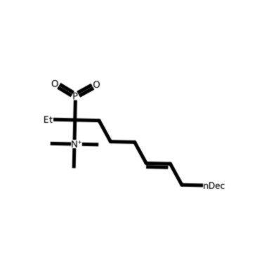 CCCCCCCCCCCC=CCCCC(CC)(P(=O)=O)[N+](C)(C)C